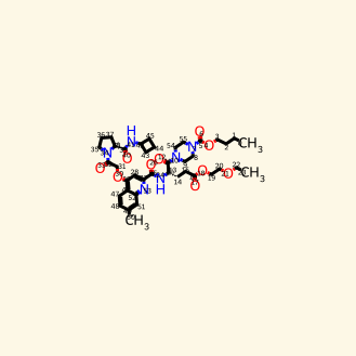 CCCCOC(=O)N1CCN(C(=O)[C@H](CCC(=O)OCCOCC)NC(=O)c2cc(OCC(=O)N3CCC[C@H]3C(=O)NC3CCC3)c3ccc(C)cc3n2)CC1